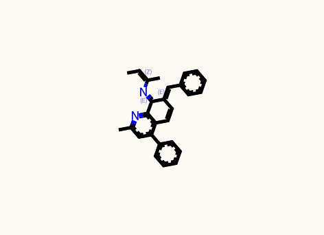 C\C=C(C)/N=C1\C(=C\c2ccccc2)C=Cc2c(-c3ccccc3)cc(C)nc21